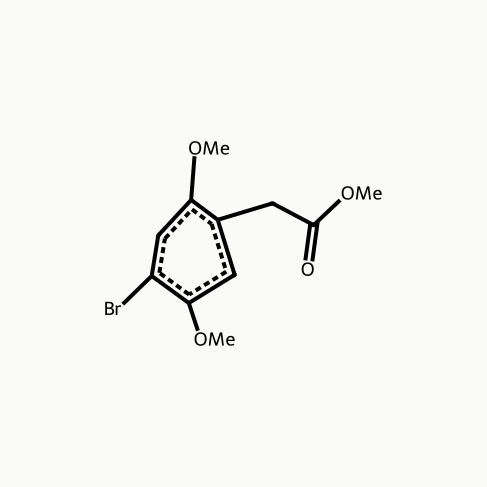 COC(=O)Cc1cc(OC)c(Br)cc1OC